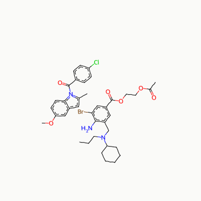 CCCN(Cc1cc(C(=O)OCCOC(C)=O)cc(Br)c1N)C1CCCCC1.COc1ccc2c(c1)cc(C)n2C(=O)c1ccc(Cl)cc1